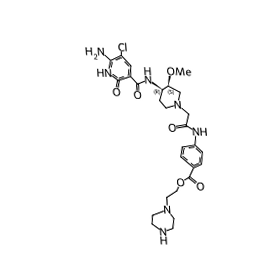 CO[C@H]1CN(CC(=O)Nc2ccc(C(=O)OCCN3CCNCC3)cc2)CC[C@H]1NC(=O)c1cc(Cl)c(N)[nH]c1=O